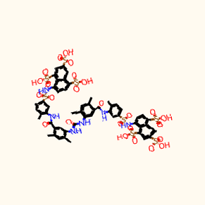 Cc1cc(C)c(C(=O)Nc2cc(S(=O)(=O)Nc3ccc(S(=O)(=O)O)c4cc(S(=O)(=O)O)cc(S(=O)(=O)O)c34)ccc2C)cc1NC(=O)Nc1cc(C(=O)Nc2cc(S(=O)(=O)Nc3ccc(S(=O)(=O)O)c4cc(S(=O)(=O)O)cc(S(=O)(=O)O)c34)ccc2C)c(C)cc1C